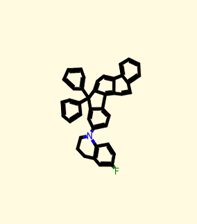 Fc1ccc2c(c1)CCCN2c1ccc2c(c1)C(c1ccccc1)(c1ccccc1)c1ccc3c(ccc4ccccc43)c1-2